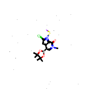 Cn1cc(B2OC(C)(C)C(C)(C)O2)c2cc(Cl)n(SI)c2c1=O